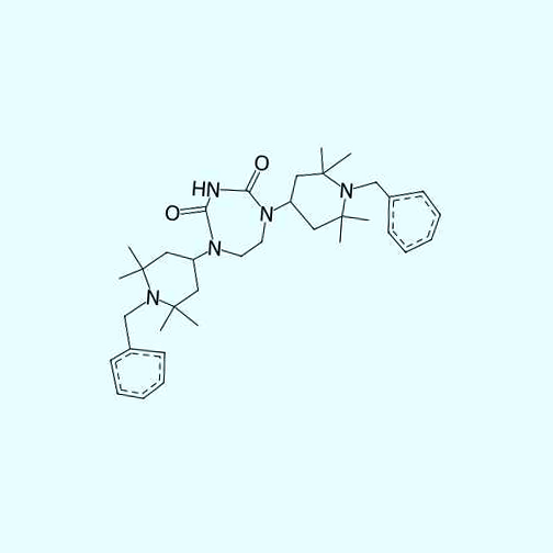 CC1(C)CC(N2CCN(C3CC(C)(C)N(Cc4ccccc4)C(C)(C)C3)C(=O)NC2=O)CC(C)(C)N1Cc1ccccc1